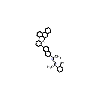 C/C(=C\C=C(/C)c1ccccc1C(C)C)c1ccc2cc(-c3cccc4c3Oc3cc5ccccc5c5cccc-4c35)ccc2c1